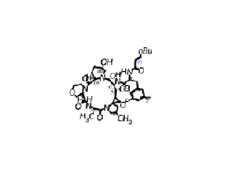 CCCC/C=C/C(=O)N[C@@H](Cc1cc(F)cc(F)c1)C(=O)N[C@@H]1C(=O)N2C[C@H](O)CC[C@H]2C(=O)N2CCOC[C@H]2C(=O)N[C@@H](C)C(=O)N2C[C@H](C)CC23C(=O)C3[C@H]1C